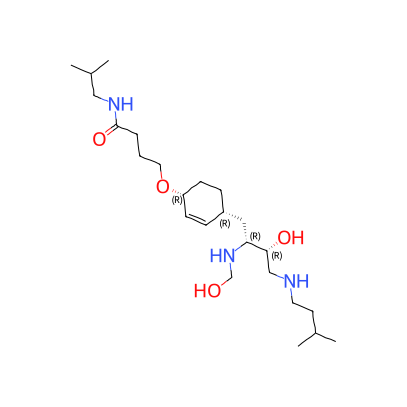 CC(C)CCNC[C@@H](O)[C@@H](C[C@@H]1C=C[C@H](OCCCC(=O)NCC(C)C)CC1)NCO